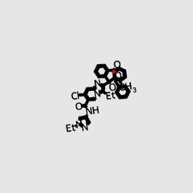 CCc1c(C(O)(c2ccccc2C)c2ccccc2C(=O)OCc2ccccc2)nc2cc(Cl)c(C(=O)Nc3cnn(CC)c3)cn12